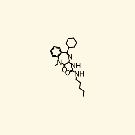 CCCCCNC(=O)NC1N=C(C2CCCCC2)c2ccccc2N(C)C1=O